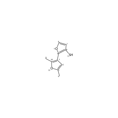 Cc1cc(-c2occc2S)c(C)o1